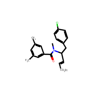 CCOC(=O)C=CC(Cc1ccc(Cl)cc1)N(C)C(=O)c1cc(C(F)(F)F)cc(C(F)(F)F)c1